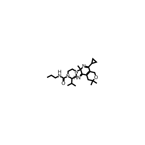 CCCNC(=O)N1CCN(C2(C)N=C(C3CC3)C3=C(CC(C)(C)OC3)C2=N)CC1C(C)C